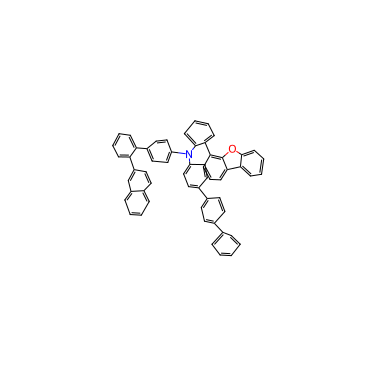 c1ccc(-c2ccc(-c3ccc(N(c4ccc(-c5ccccc5-c5ccc6ccccc6c5)cc4)c4ccccc4-c4cccc5c4oc4ccccc45)cc3)cc2)cc1